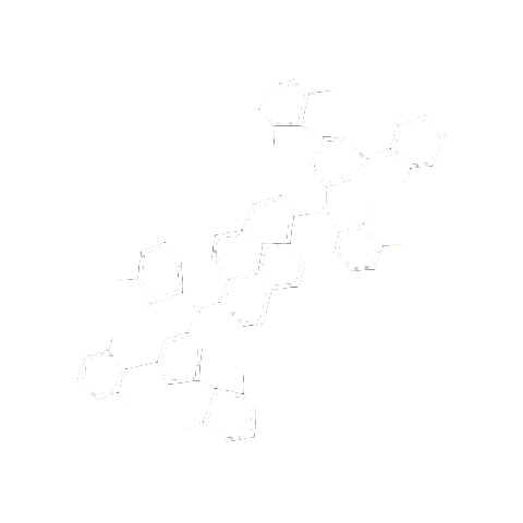 Cc1cccc(C)c1-c1cc(-c2c(C)cccc2C)cc(N(c2cccc(F)c2F)c2ccc3ccc4c(N(c5cc(-c6c(C)cccc6C)cc(-c6c(C)cccc6C)c5)c5cccc(F)c5F)ccc5ccc2c3c54)c1